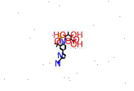 CC1C(O)C(C(=O)O)OC(N2C(=S)OC(C)(C)c3cc(-c4ccc(C#N)n4C)ccc32)C1O